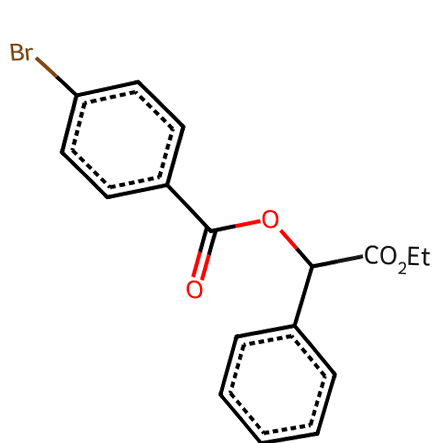 CCOC(=O)C(OC(=O)c1ccc(Br)cc1)c1ccccc1